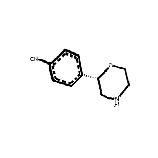 [C-]#[N+]c1ccc([C@H]2CNCCO2)cc1